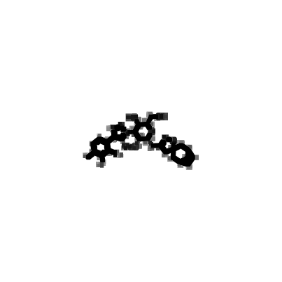 CO[C@@H]1[C@@H](n2cc(-c3ccc(C)c(F)c3F)nn2)[C@@H](O)[C@@H](CO)O[C@@H]1CC1=NOC2(C1)CC1CCC(C1)C2